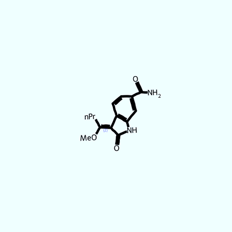 CCC/C(OC)=C1/C(=O)Nc2cc(C(N)=O)ccc21